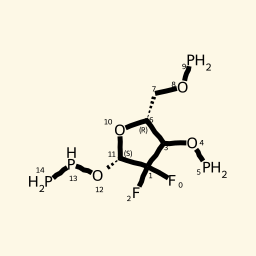 FC1(F)C(OP)[C@@H](COP)O[C@H]1OPP